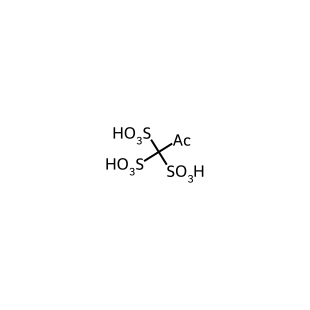 CC(=O)C(S(=O)(=O)O)(S(=O)(=O)O)S(=O)(=O)O